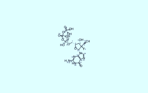 C#CC1(F)[C@@H](O)[C@@H](COP(=O)(O)OP(=O)(O)OP(=O)(O)O)O[C@H]1n1cnc2c(=O)[nH]c(N)nc21